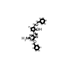 C[C@H]1CC(n2cnc3c(OCc4ccccc4)nc(N)nc32)[C@@H](O)[C@@H]1COCc1ccccc1